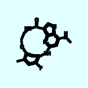 CNc1cc2nc3c(cnn13)C(=O)NCCOc1cc(c(F)cc1C)N2